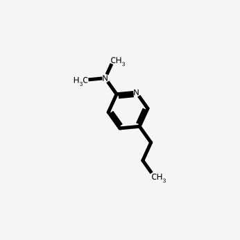 CCCc1ccc(N(C)C)nc1